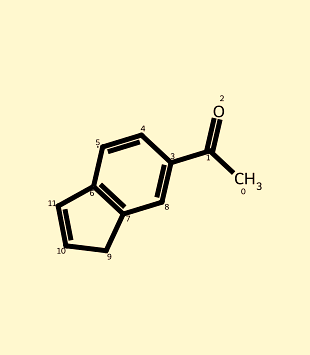 CC(=O)c1c[c]c2c(c1)CC=C2